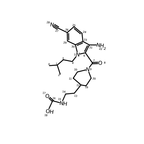 CC(C)CCn1c(C(=O)N2CCC(CCNC(=O)O)CC2)c(N)c2ccc(C#N)cc21